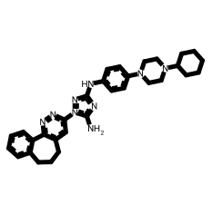 Nc1nc(Nc2ccc(N3CCN(C4CCCCC4)CC3)cc2)nn1-c1cc2c(nn1)-c1ccccc1CCC2